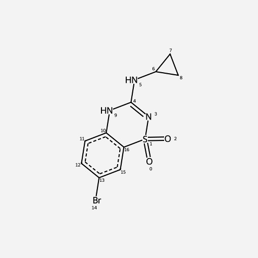 O=S1(=O)N=C(NC2CC2)Nc2ccc(Br)cc21